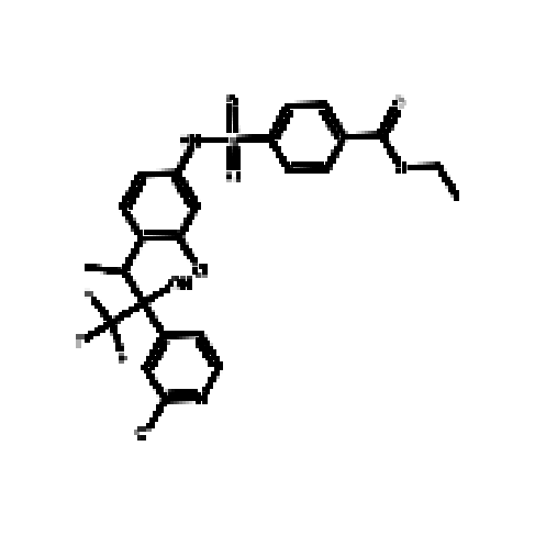 CCOC(=O)c1ccc(S(=O)(=O)Nc2ccc(C(C)C(O)(c3ccnc(Cl)c3)C(F)(F)F)c(Cl)c2)cc1